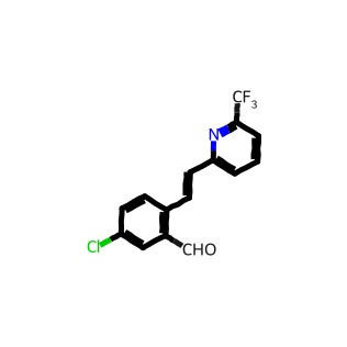 O=Cc1cc(Cl)ccc1/C=C/c1cccc(C(F)(F)F)n1